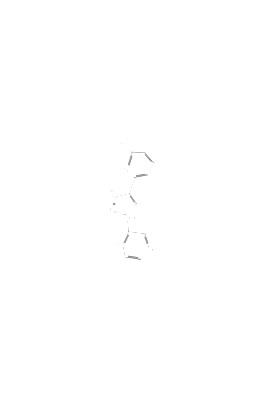 Brc1cccc(-c2cn(-c3cccnc3)nn2)n1